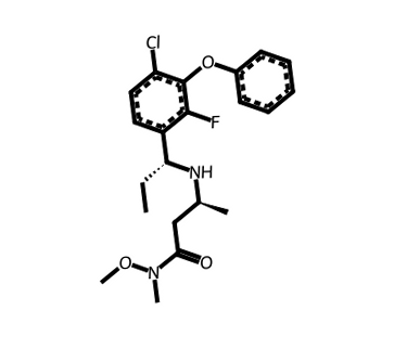 CC[C@@H](N[C@@H](C)CC(=O)N(C)OC)c1ccc(Cl)c(Oc2ccccc2)c1F